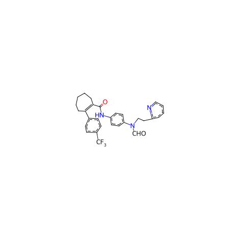 O=CN(CCc1ccccn1)c1ccc(NC(=O)C2=C(c3ccc(C(F)(F)F)cc3)CCCCC2)cc1